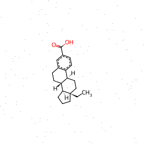 CC[C@@]12CCC[C@H]1[C@@H]1CCc3cc(C(=O)O)ccc3[C@H]1CC2